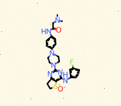 CN(C)CC(=O)Nc1ccc(N2CCN(c3nc4c(c(Nc5cccc(F)c5)n3)[S+]([O-])CC4)CC2)cc1